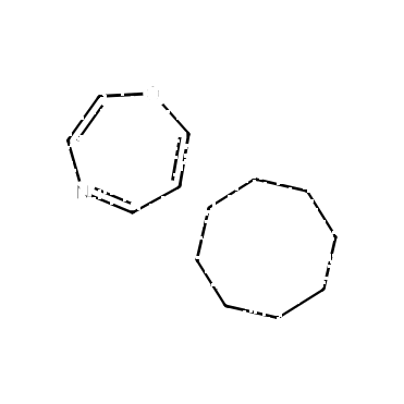 C1=COC=CN=C1.C1CCCCCCC1